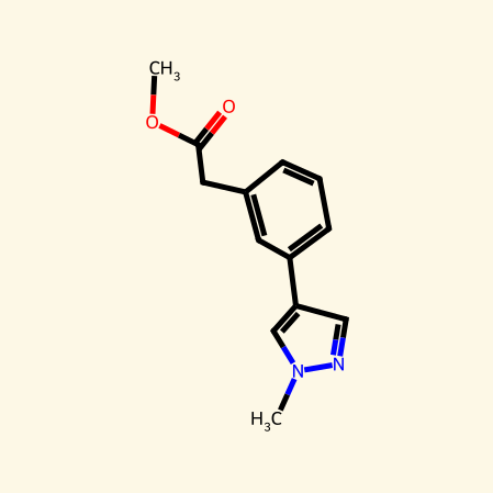 COC(=O)Cc1cccc(-c2cnn(C)c2)c1